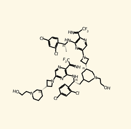 C[C@@H](Nc1nc(N2CC([C@H]3CC(C[C@@H](Nc4nc(N5CC([C@@H]6CCCN(CCO)C6)C5)cnc4C(=N)C(F)(F)F)c4ccc(Cl)cc4Cl)CN(CCO)C3)C2)cnc1C(=N)C(F)(F)F)c1ccc(Cl)cc1Cl